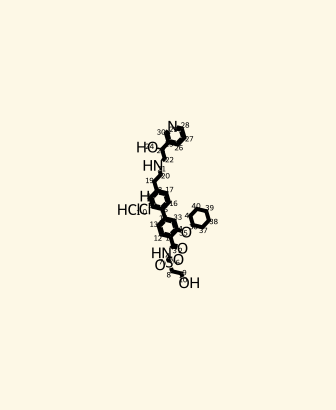 Cl.Cl.O=C(NS(=O)(=O)CCO)c1ccc(-c2ccc(CCNC[C@H](O)c3cccnc3)cc2)cc1OC1CCCCC1